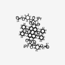 CC(C)CC(C(=O)OC1CCCC(OCC2CO2)C1)N1C(=O)c2cc(Oc3ccccc3)c3c4c(Oc5ccccc5)cc5c6c(cc(Oc7ccccc7)c(c7c(Oc8ccccc8)cc(c2c37)C1=O)c64)C(=O)N(C(CC(C)C)C(=O)OC1CCCC(OCC2CO2)C1)C5=O